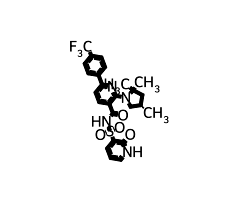 C[C@@H]1CN(c2nc(-c3ccc(C(F)(F)F)cc3)ccc2C(=O)NS(=O)(=O)c2ccc[nH]c2=O)C(C)(C)C1